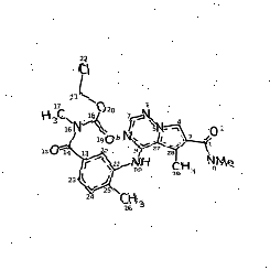 CNC(=O)c1cn2ncnc(Nc3cc(C(=O)N(C)C(=O)OCCl)ccc3C)c2c1C